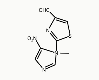 C[N+]1(c2nc(C=O)cs2)C=NC=C1[N+](=O)[O-]